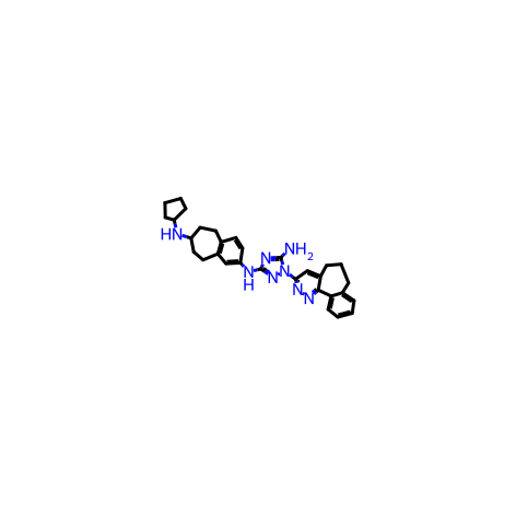 Nc1nc(Nc2ccc3c(c2)CCC(NC2CCCC2)CC3)nn1-c1cc2c(nn1)-c1ccccc1CCC2